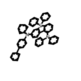 c1ccc(-c2ccc(N(c3ccccc3)c3ccc4c(c3)[Si](c3ccccc3)(c3ccccc3)c3cccc(N(c5ccccc5)c5ccccc5)c3-4)cc2)cc1